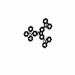 c1ccc(S(c2ccccc2)(c2ccccc2)c2ccc(-n3c4ccc(-n5c6ccccc6c6ccccc65)cc4c4cc(-n5c6ccccc6c6ccccc65)ccc43)cc2)cc1